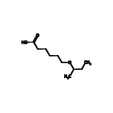 CCC(C)OCCCCCC(=O)O